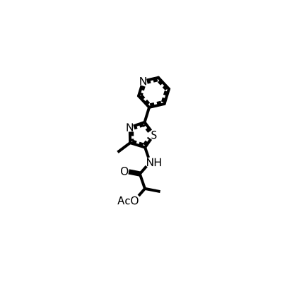 CC(=O)OC(C)C(=O)Nc1sc(-c2cccnc2)nc1C